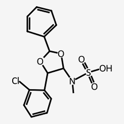 CN(C1OC(c2ccccc2)OC1c1ccccc1Cl)S(=O)(=O)O